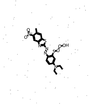 CCN(CC)c1ccc(/N=N/c2nc3cc([N+](=O)[O-])c(C)cc3s2)c(SOOO)c1